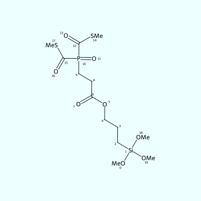 CO[Si](CCCOC(=O)CCP(=O)(C(=O)SC)C(=O)SC)(OC)OC